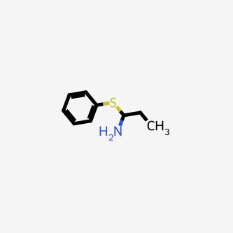 CCC(N)Sc1ccccc1